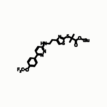 CC(C)(C)OC(=O)C(C)(C)Sc1nc(CCNc2ccc(-c3ccc(OC(F)(F)F)cc3)nn2)cs1